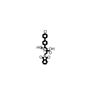 O=C1c2ccccc2C(=O)N1CCC(F)(CC(=NO)c1ccc(-c2ccc(Cl)cc2)cc1)C(=O)O